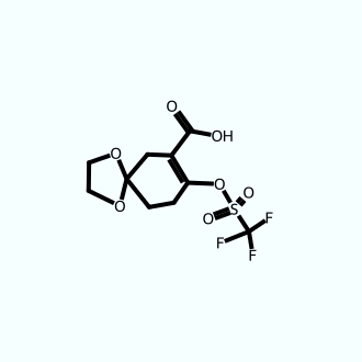 O=C(O)C1=C(OS(=O)(=O)C(F)(F)F)CCC2(C1)OCCO2